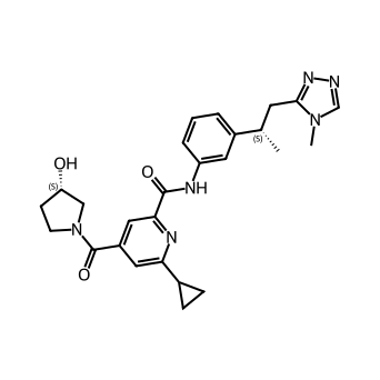 C[C@@H](Cc1nncn1C)c1cccc(NC(=O)c2cc(C(=O)N3CC[C@H](O)C3)cc(C3CC3)n2)c1